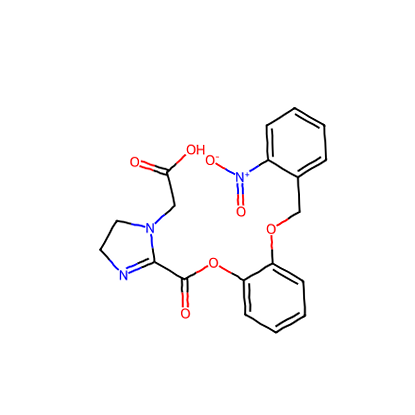 O=C(O)CN1CCN=C1C(=O)Oc1ccccc1OCc1ccccc1[N+](=O)[O-]